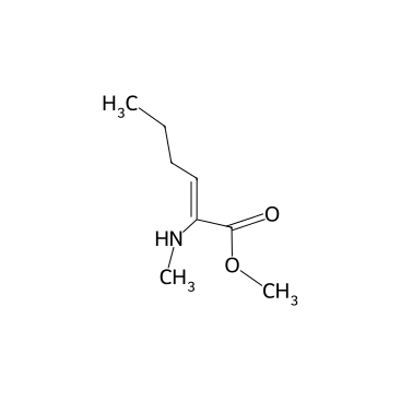 CCCC=C(NC)C(=O)OC